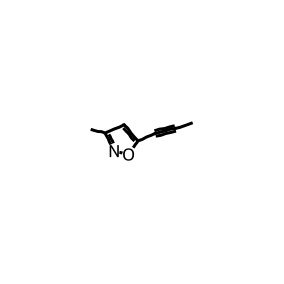 CC#Cc1cc(C)no1